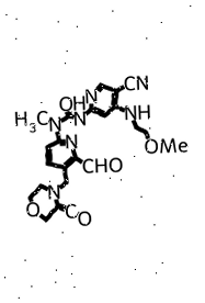 COCCNc1cc(NC(=O)N(C)c2ccc(CN3CCOCC3=C=O)c(C=O)n2)ncc1C#N